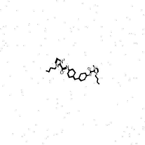 CCCCn1cc[n+](C)c1/C([O-])=N/C1CCC(CC2CCC(/N=C(\[O-])c3n(CCCC)cc[n+]3C)CC2)CC1